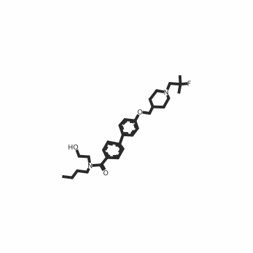 CCCCN(CCO)C(=O)c1ccc(-c2ccc(OCC3CCN(CC(C)(C)F)CC3)cc2)cc1